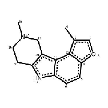 Cc1coc2ccc3[nH]c4c(c3c12)CN(C)CC4